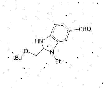 CCN1c2cc(C=O)ccc2NC1COC(C)(C)C